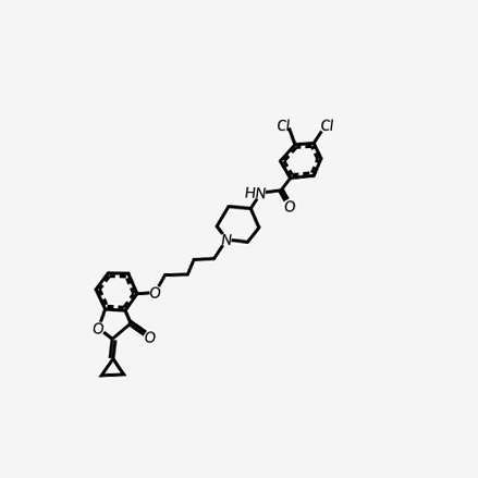 O=C(NC1CCN(CCCCOc2cccc3c2C(=O)C(=C2CC2)O3)CC1)c1ccc(Cl)c(Cl)c1